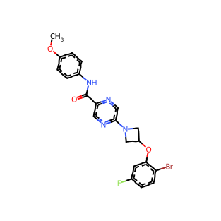 COc1ccc(NC(=O)c2cnc(N3CC(Oc4cc(F)ccc4Br)C3)cn2)cc1